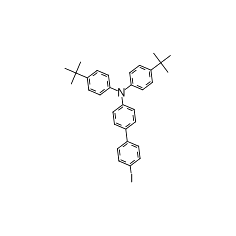 CC(C)(C)c1ccc(N(c2ccc(-c3ccc(I)cc3)cc2)c2ccc(C(C)(C)C)cc2)cc1